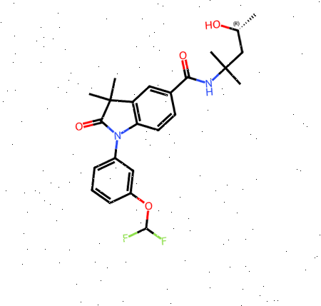 C[C@@H](O)CC(C)(C)NC(=O)c1ccc2c(c1)C(C)(C)C(=O)N2c1cccc(OC(F)F)c1